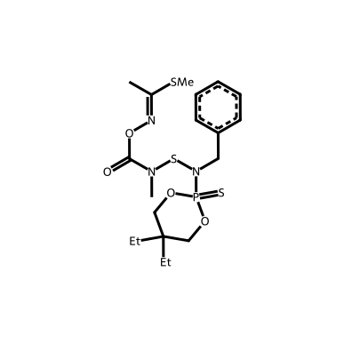 CCC1(CC)COP(=S)(N(Cc2ccccc2)SN(C)C(=O)ON=C(C)SC)OC1